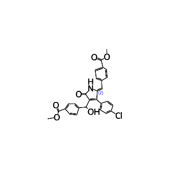 COC(=O)c1ccc(/C=C2\NC(=O)C(C(O)c3ccc(C(=O)OC)cc3)=C2c2ccc(Cl)cc2)cc1